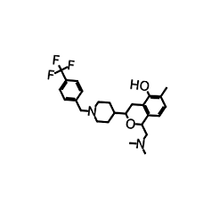 Cc1ccc2c(c1O)CC(C1CCN(Cc3ccc(C(F)(F)F)cc3)CC1)OC2CN(C)C